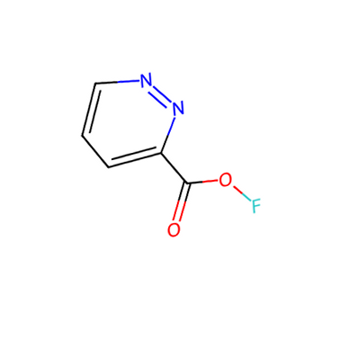 O=C(OF)c1cccnn1